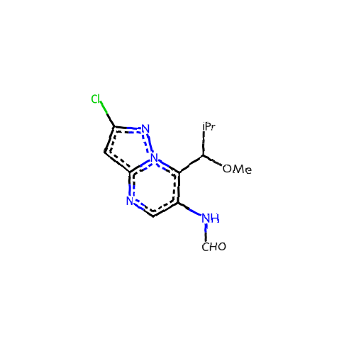 COC(c1c(NC=O)cnc2cc(Cl)nn12)C(C)C